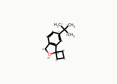 CC(C)(C)c1ccc2c(c1)C1(CCC1)OC2